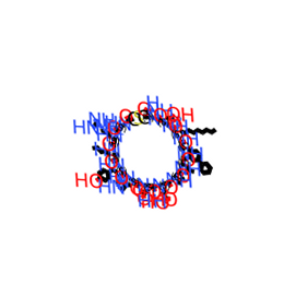 CCCCCCCCC[C@@H]1NC(=O)[C@H](Cc2ccc(-c3ccccc3)cc2)NC(=O)[C@H](CC(C)C)NC(=O)[C@H](C(C)C)NC(=O)[C@H](CCC(=O)O)NC(=O)[C@H](CC(=O)O)NC(=O)[C@H](Cc2c[nH]cn2)NC(=O)[C@H](CCc2ccc(O)cc2)NC(=O)[C@H](CCCCC)NC(=O)[C@H](CCCNC(=N)N)NC(=O)[C@H](C)NC(=O)CSC[C@@H](C(N)=O)NC(=O)[C@H](CC(=O)O)NC1=O